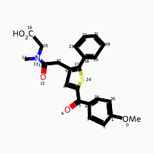 COc1ccc(C(=O)c2cc(CC(=O)N(C)CC(=O)O)c(-c3ccccc3)s2)cc1